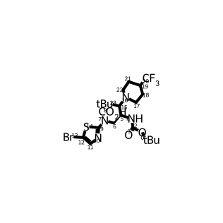 CC(C)(C)OC(=O)N[C@@H](CN(C(=O)O)c1ncc(Br)s1)C(N1CCC(C(F)(F)F)CC1)C(C)(C)C